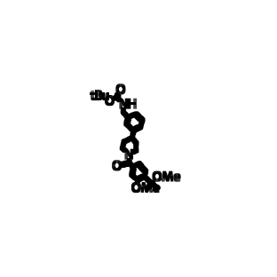 COc1cc(C(=O)N2CCC(c3cccc(CNC(=O)OC(C)(C)C)c3)CC2)ccc1C(C)(C)OC